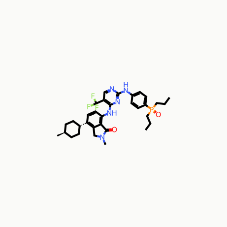 CCCP(=O)(CCC)c1ccc(Nc2ncc(C(F)(F)F)c(Nc3ccc([C@H]4CC[C@H](C)CC4)c4c3C(=O)N(C)C4)n2)cc1